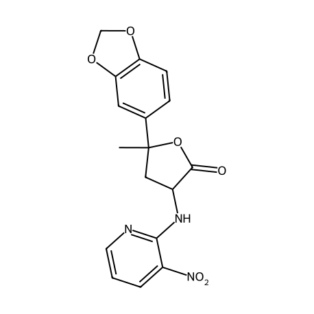 CC1(c2ccc3c(c2)OCO3)CC(Nc2ncccc2[N+](=O)[O-])C(=O)O1